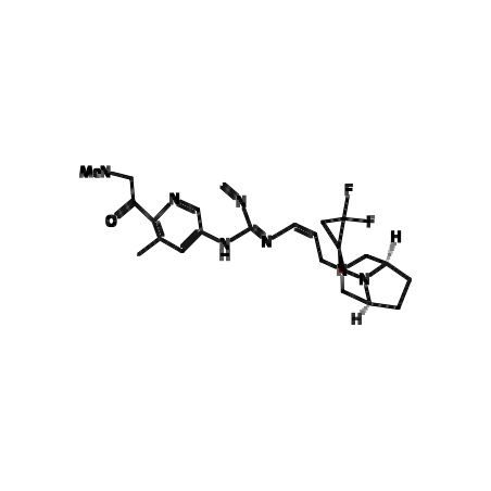 C=N/C(=N\C=C/CN1C[C@H]2CC[C@@H](C1)N2C[C@H]1CC1(F)F)Nc1cnc(C(=O)CNC)c(C)c1